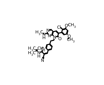 CNc1ncc2cc(-c3cc(OC)cc(OC)c3Cl)c(=O)n(CCc3ccc(C=C(C#N)C(=O)NC(C)(C)C)cc3)c2n1